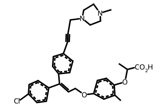 Cc1cc(OC/C=C(/c2ccc(Cl)cc2)c2ccc(C#CCN3CCN(C)CC3)cc2)ccc1OC(C)C(=O)O